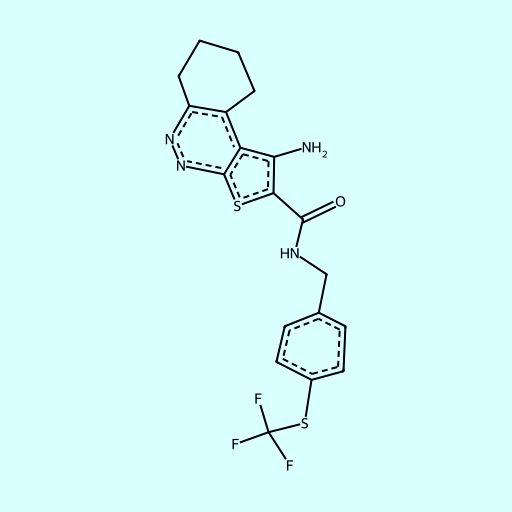 Nc1c(C(=O)NCc2ccc(SC(F)(F)F)cc2)sc2nnc3c(c12)CCCC3